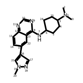 CN(C)C1CCC(Nc2ncnc3ccc(-c4cnn(C)c4)cc23)CC1